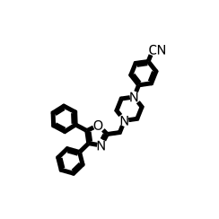 N#Cc1ccc(N2CCN(Cc3nc(-c4ccccc4)c(-c4ccccc4)o3)CC2)cc1